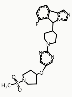 CS(=O)(=O)N1CCC(Oc2cnc(N3CCC(C4c5c(F)cccc5-c5cncn54)CC3)nc2)CC1